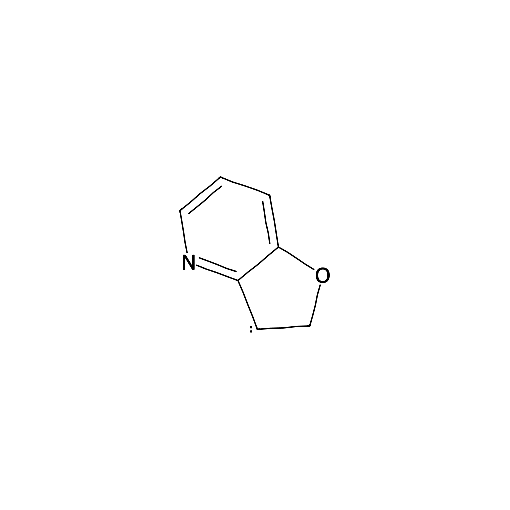 [C]1COc2cccnc21